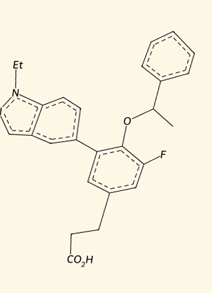 CCn1ncc2cc(-c3cc(CCC(=O)O)cc(F)c3OC(C)c3ccccc3)ccc21